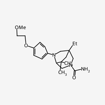 CCC12CN(C(N)=O)CC(N(c3ccc(OCCOC)cc3)C1)C(C)(C)C2